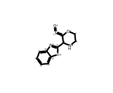 O=S=C1OCCNC1c1nc2ccccc2s1